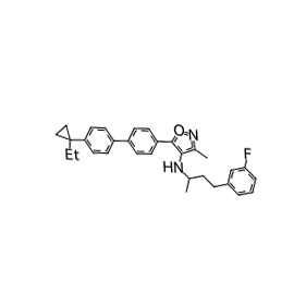 CCC1(c2ccc(-c3ccc(-c4onc(C)c4NC(C)CCc4cccc(F)c4)cc3)cc2)CC1